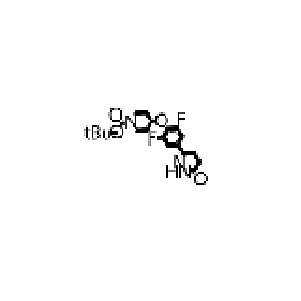 CC(C)(C)OC(=O)N1CCC(Oc2c(F)cc(C3=NNC(=O)CC3)cc2F)CC1